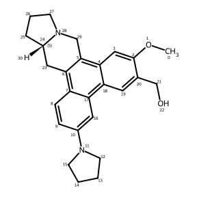 COc1cc2c3c(c4ccc(N5CCCC5)cc4c2cc1CO)C[C@@H]1CCCN1C3